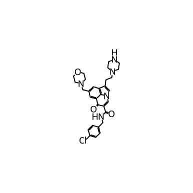 O=C(NCc1ccc(Cl)cc1)c1cn2cc(CCN3CCNCC3)c3cc(CN4CCOCC4)cc(c1=O)c32